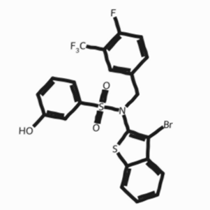 O=S(=O)(c1cccc(O)c1)N(Cc1ccc(F)c(C(F)(F)F)c1)c1sc2ccccc2c1Br